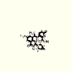 Cc1cc([C@@H](C)Nc2ccc(F)nc2C(=O)O)c2nc(N3CC4CC4C3)n(C)c(=O)c2c1